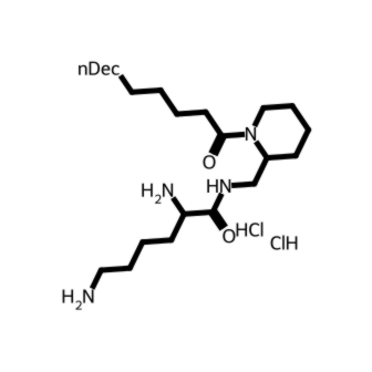 CCCCCCCCCCCCCCC(=O)N1CCCCC1CNC(=O)C(N)CCCCN.Cl.Cl